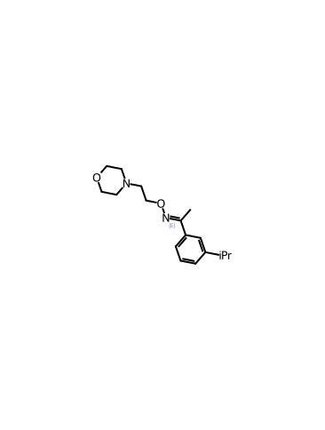 C/C(=N\OCCN1CCOCC1)c1cccc(C(C)C)c1